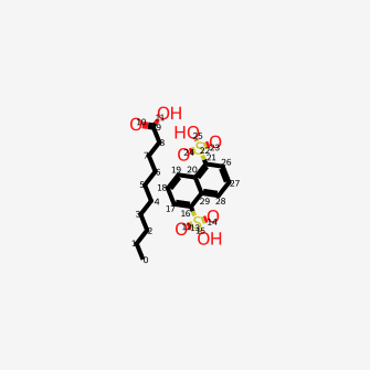 CCCCCCCCCC(=O)O.O=S(=O)(O)c1cccc2c(S(=O)(=O)O)cccc12